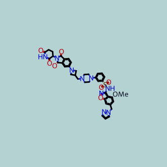 COc1cc(Cn2cccn2)cc2onc(NS(=O)(=O)c3cccc(N4CCN(CC5CN(c6ccc7c(c6)C(=O)N(C6CCC(=O)NC6=O)C7=O)C5)CC4)c3)c12